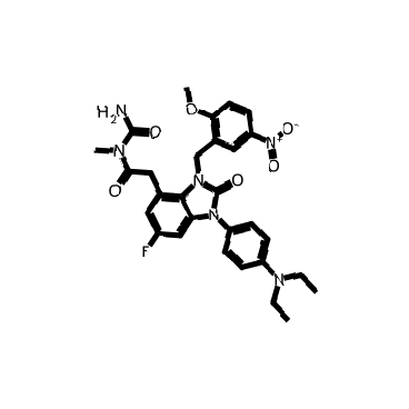 CCN(CC)c1ccc(-n2c(=O)n(Cc3cc([N+](=O)[O-])ccc3OC)c3c(CC(=O)N(C)C(N)=O)cc(F)cc32)cc1